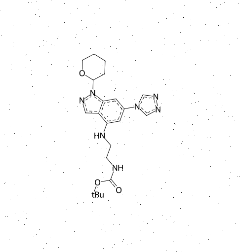 CC(C)(C)OC(=O)NCCNc1cc(-n2cnnc2)cc2c1cnn2C1CCCCO1